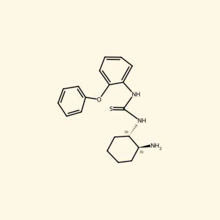 N[C@H]1CCCC[C@@H]1NC(=S)Nc1ccccc1Oc1ccccc1